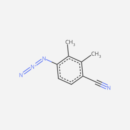 Cc1c(C#N)ccc(N=[N+]=[N-])c1C